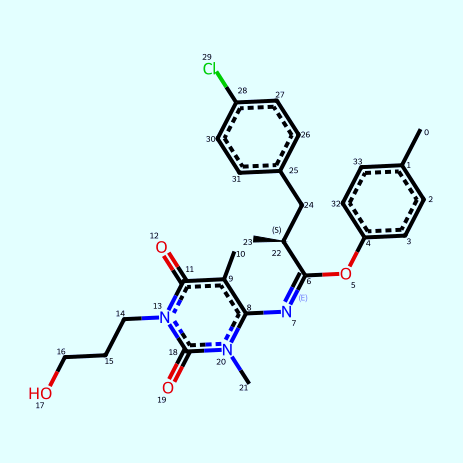 Cc1ccc(O/C(=N/c2c(C)c(=O)n(CCCO)c(=O)n2C)[C@@H](C)Cc2ccc(Cl)cc2)cc1